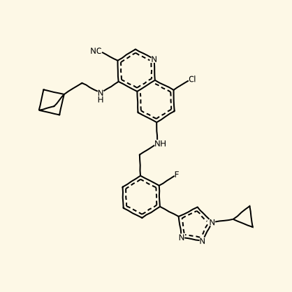 N#Cc1cnc2c(Cl)cc(NCc3cccc(-c4cn(C5CC5)nn4)c3F)cc2c1NCC12CC(C1)C2